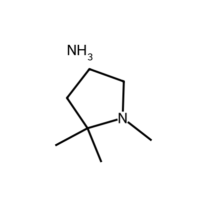 CN1CCCC1(C)C.N